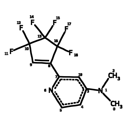 CN(C)c1ccnc(C2=CC(F)(F)C(F)(F)C2(F)F)c1